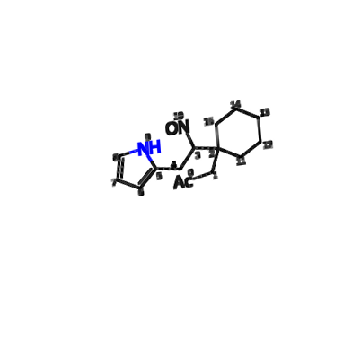 CC(=O)CC1(C(Cc2ccc[nH]2)N=O)CCCCC1